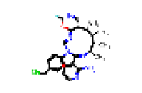 C[C@@H]1[C@@H](C)[C@@H](C=N)C(OCF)/N=C/N(c2ccc(CCl)cc2)/C(c2cccnc2N)=N\[C@@H](C)[C@H]1C